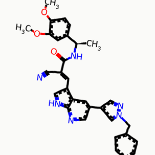 COc1ccc([C@@H](C)NC(=O)/C(C#N)=C/c2c[nH]c3ncc(-c4cnn(Cc5ccccc5)c4)cc23)cc1OC